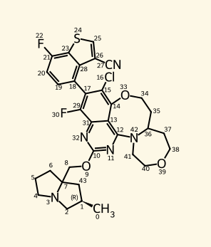 C[C@H]1CN2CCCC2(COc2nc3c4c(c(Cl)c(-c5ccc(F)c6scc(C#N)c56)c(F)c4n2)OCCC2CCOCCN32)C1